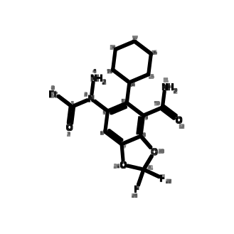 CCC(=O)N(N)c1cc2c(c(C(N)=O)c1C1CCCCC1)OC(F)(F)O2